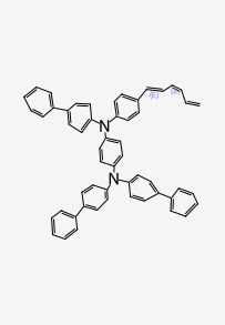 C=C/C=C\C=C\c1ccc(N(c2ccc(-c3ccccc3)cc2)c2ccc(N(c3ccc(-c4ccccc4)cc3)c3ccc(-c4ccccc4)cc3)cc2)cc1